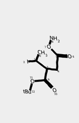 CC(I)C(CC(=O)ON)C(=O)OC(C)(C)C